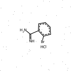 Cl.N=C(N)c1ccccc1Br